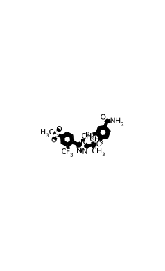 Cn1c(-c2ccc(S(C)(=O)=O)cc2C(F)(F)F)nnc1C(C)(C)Oc1ccc(C(N)=O)cc1Br